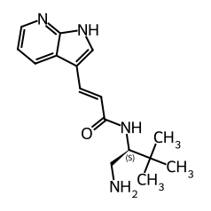 CC(C)(C)[C@@H](CN)NC(=O)C=Cc1c[nH]c2ncccc12